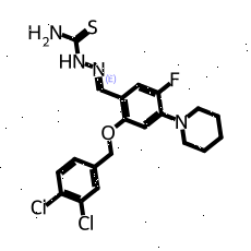 NC(=S)N/N=C/c1cc(F)c(N2CCCCC2)cc1OCc1ccc(Cl)c(Cl)c1